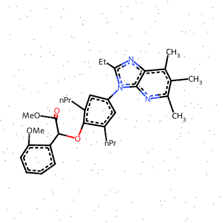 CCCc1cc(-n2c(CC)nc3c(C)c(C)c(C)nc32)cc(CCC)c1OC(C(=O)OC)c1ccccc1OC